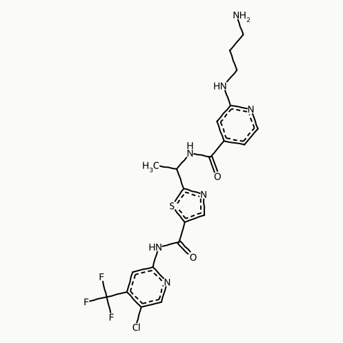 CC(NC(=O)c1ccnc(NCCCN)c1)c1ncc(C(=O)Nc2cc(C(F)(F)F)c(Cl)cn2)s1